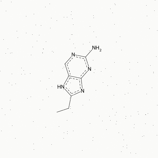 CCc1nc2nc(N)ncc2[nH]1